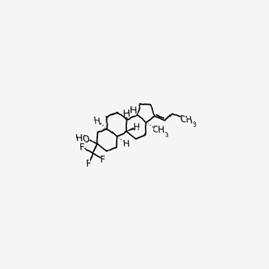 CCC=C1CC[C@H]2[C@@H]3CC[C@@H]4CC(O)(C(F)(F)F)CC[C@@H]4[C@H]3CC[C@]12C